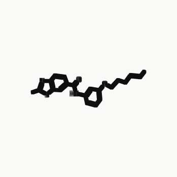 CC=CCCCOc1cccc(NC(=O)c2ccc3nc(C)sc3c2)c1